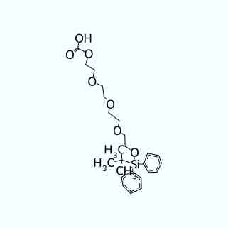 CC(C)(C)[Si](OCCOCCOCCOCCOC(=O)O)(c1ccccc1)c1ccccc1